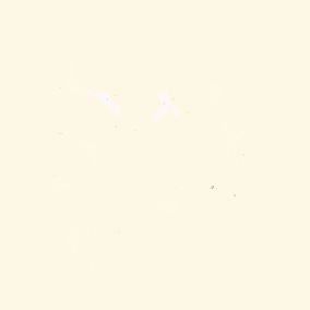 CCOC(=O)c1[nH]c(/C=N/OC)c(-c2ccc(OC)c(OC)c2OC)c1C(O)C1CC1